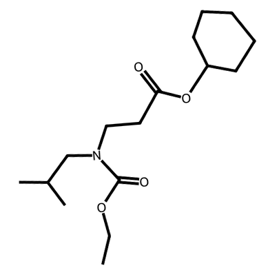 CCOC(=O)N(CCC(=O)OC1CCCCC1)CC(C)C